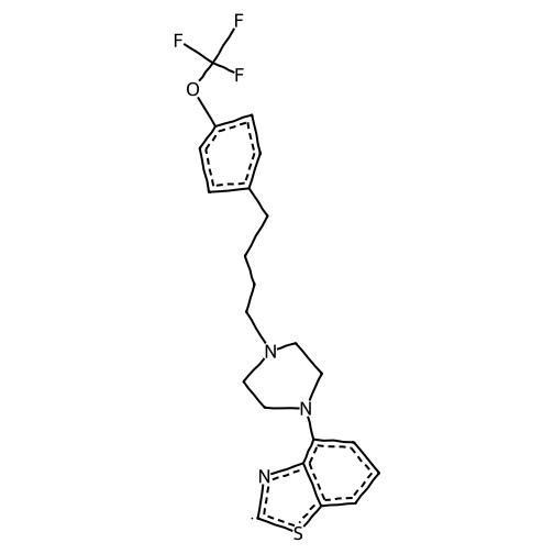 FC(F)(F)Oc1ccc(CCCCN2CCN(c3cccc4s[c]nc34)CC2)cc1